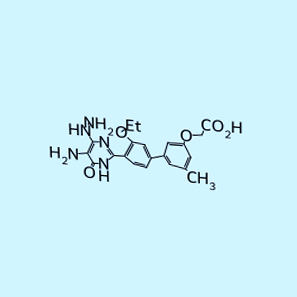 CCOc1cc(-c2cc(C)cc(OCC(=O)O)c2)ccc1-c1nc(NN)c(N)c(=O)[nH]1